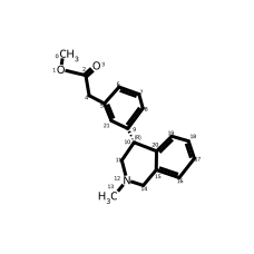 COC(=O)Cc1cccc([C@H]2CN(C)Cc3ccccc32)c1